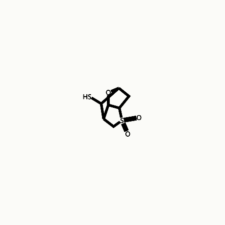 O=S1(=O)CC2C(S)C3CC1C2O3